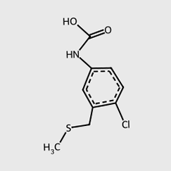 CSCc1cc(NC(=O)O)ccc1Cl